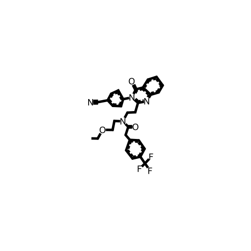 CCOCCN(CCc1nc2ccccc2c(=O)n1-c1ccc(C#N)cc1)C(=O)Cc1ccc(C(F)(F)F)cc1